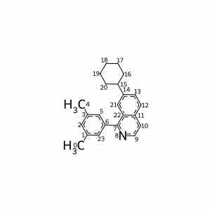 Cc1cc(C)cc(-c2nccc3ccc(C4CCCCC4)cc23)c1